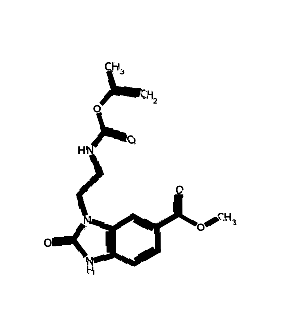 C=C(C)OC(=O)NCCn1c(=O)[nH]c2ccc(C(=O)OC)cc21